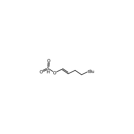 CC(C)(C)CCC=CO[SH](=O)=O